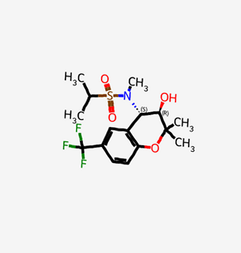 CC(C)S(=O)(=O)N(C)[C@H]1c2cc(C(F)(F)F)ccc2OC(C)(C)[C@@H]1O